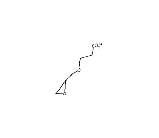 O=C(O)[CH]COCC1CO1